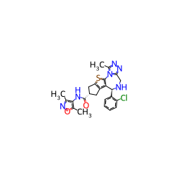 Cc1noc(C)c1NC(=O)[C@@H]1Cc2sc3c(c2C1)[C@H](c1ccccc1Cl)NCc1nnc(C)n1-3